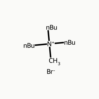 CCCC[N+](C)(CCCC)CCCC.[Br-]